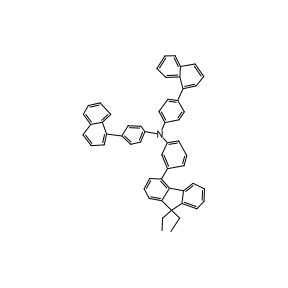 CCC1(CC)c2ccccc2-c2c(-c3cccc(N(c4ccc(-c5cccc6ccccc56)cc4)c4ccc(-c5cccc6ccccc56)cc4)c3)cccc21